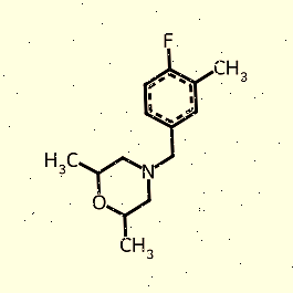 Cc1cc(CN2CC(C)OC(C)C2)ccc1F